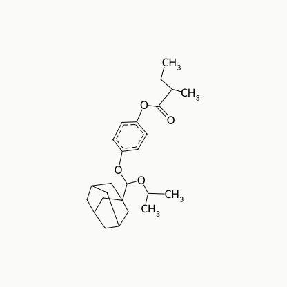 CCC(C)C(=O)Oc1ccc(OC(OC(C)C)C23CC4CC(CC(C4)C2)C3)cc1